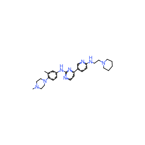 Cc1cc(Nc2nccc(-c3ccc(NCCN4CCCCC4)nc3)n2)ccc1N1CCN(C)CC1